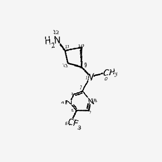 CN(c1cnc(C(F)(F)F)cn1)C1CC(N)C1